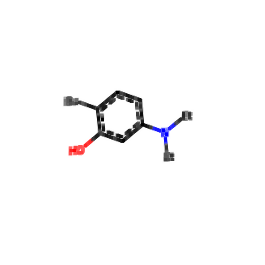 C[CH]C(C)c1ccc(N(CC)CC)cc1O